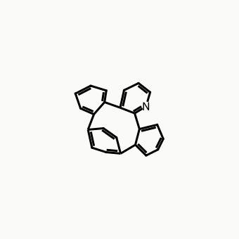 c1ccc2c(c1)c1ccc(cc1)c1ccccc1c1ncccc21